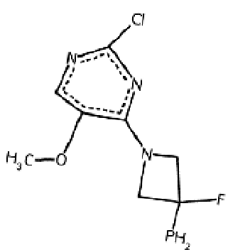 COc1cnc(Cl)nc1N1CC(F)(P)C1